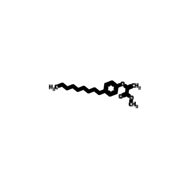 C=C(Oc1ccc(CCCCCCCCC)cc1)C(=O)OC